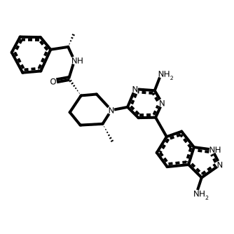 C[C@H](NC(=O)[C@H]1CC[C@@H](C)N(c2cc(-c3ccc4c(N)n[nH]c4c3)nc(N)n2)C1)c1ccccc1